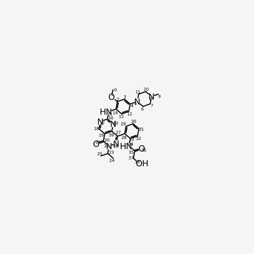 COc1cc(N2CCN(C)CC2)ccc1Nc1ncc2c(=O)n(C(C)C)nc(-c3ccccc3NC(=O)CO)c2n1